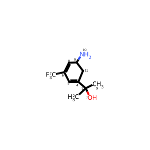 CC(C)(O)C1=CC(C(F)(F)F)=CC(N)C1